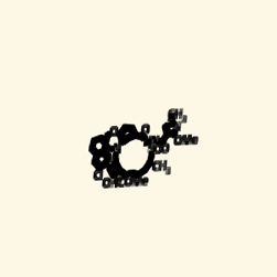 COc1nn(C)cc1C(=O)N[S@@]1(=O)=NC(=O)c2ccc3c(c2)N(C[C@@H]2CC[C@H]2[C@@](C=O)(OC)/C=C/C[C@H](C)C1)C[C@@]1(CCCc2cc(Cl)ccc21)CO3